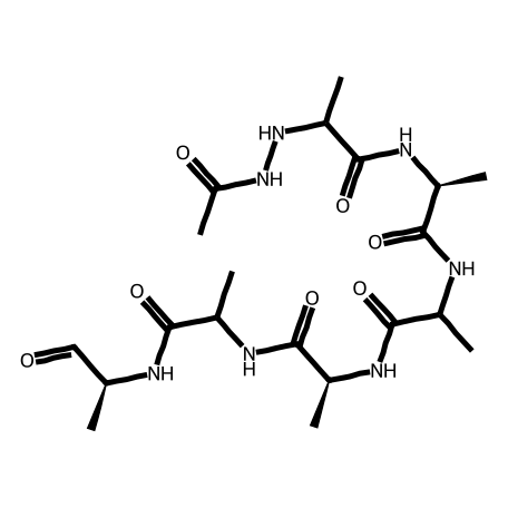 CC(=O)NNC(C)C(=O)N[C@@H](C)C(=O)NC(C)C(=O)N[C@@H](C)C(=O)NC(C)C(=O)N[C@@H](C)C=O